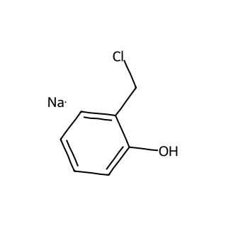 Oc1ccccc1CCl.[Na]